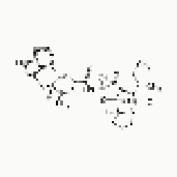 CC[C@H](C)[C@H]1C(=O)N2CCC[C@H]2[C@]2(O)O[C@@](C)(NC(=O)[C@@H]3C=C4c5cccc6[nH]cc(c56)C[C@H]4N(C)C3)C(=O)N12